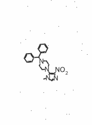 Cn1cnc([N+](=O)[O-])c1N1CCN(C(c2ccccc2)c2ccccc2)CC1